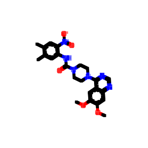 COc1cc2ncnc(N3CCN(C(=O)Nc4cc(C)c(C)cc4[N+](=O)[O-])CC3)c2cc1OC